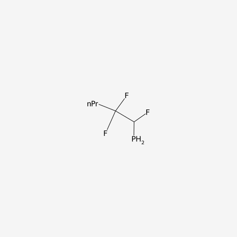 CCCC(F)(F)C(F)P